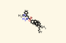 CC(C)CCCC(C)[C@H]1CC[C@H]2[C@@H]3CC=C4C[C@@H](OC(=O)C(N)Cc5cn(C)c6ccccc56)CC[C@]4(C)[C@H]3CC[C@]12C